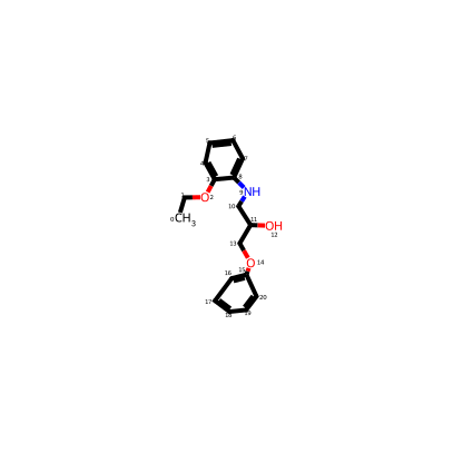 CCOc1ccccc1NCC(O)COc1ccccc1